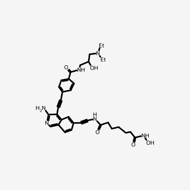 CCN(CC)CC(O)CNC(=O)c1ccc(C#Cc2c(N)ncc3ccc(C#CNC(=O)CCCCCC(=O)NO)cc23)cc1